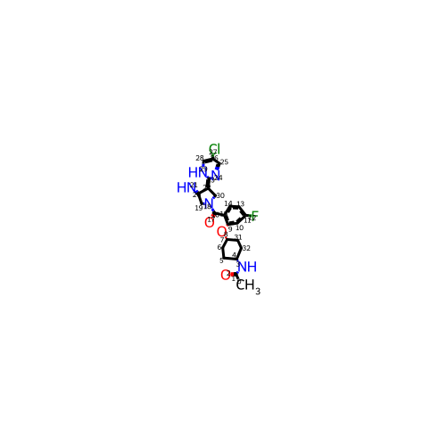 CC(=O)N[C@H]1CC[C@@H](Oc2cc(F)ccc2C(=O)N2CC(=N)/C(=C3/N=CC(Cl)=CN3)C2)CC1